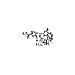 C[C@H]1[C@@H](c2ccc(F)c(F)c2OC(F)F)[C@H](C(=O)Nc2ccnc(C(N)=O)c2)OC1(C)C